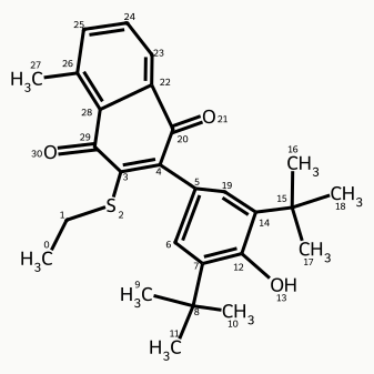 CCSC1=C(c2cc(C(C)(C)C)c(O)c(C(C)(C)C)c2)C(=O)c2cccc(C)c2C1=O